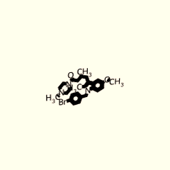 COc1ccc2c(c1)c(CC(C)CC(=O)N1CCN(C)CC1)c(C)n2Cc1ccc(Br)cc1